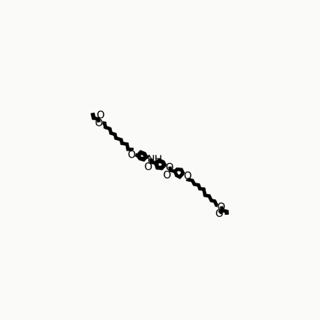 C=CC(=O)OCCCCCCCCCCCOc1ccc(NC(=O)c2ccc(OC(=O)C3CCC(OCCCCCCCCCCCOC(=O)C=C)CC3)cc2)cc1